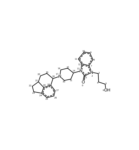 O=c1n(CCCO)c2ccccc2n1C1CCN(C2CCC3CCc4cccc2c43)CC1